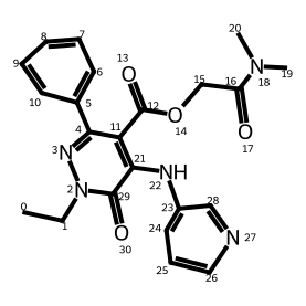 CCn1nc(-c2ccccc2)c(C(=O)OCC(=O)N(C)C)c(Nc2cccnc2)c1=O